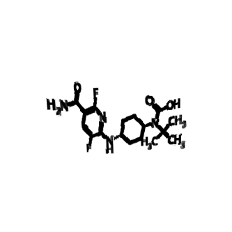 CC(C)(C)N(C(=O)O)[C@H]1CC[C@H](Nc2nc(F)c(C(N)=O)cc2F)CC1